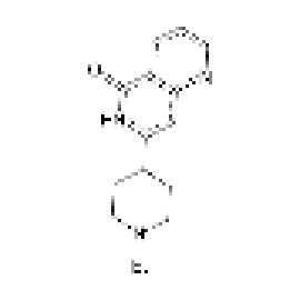 CCN1CCC(c2cc3ncccc3c(=O)[nH]2)CC1